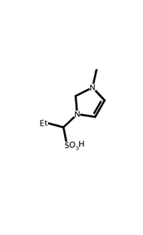 CCC(N1C=CN(C)C1)S(=O)(=O)O